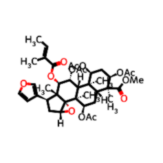 C/C=C(\C)C(=O)O[C@H]1[C@H](OC(C)=O)[C@@H]2[C@@]3(C)[C@@H](OC(C)=O)C[C@@H](OC(C)=O)[C@@](C)(C(=O)OC)[C@@H]3C[C@@H](OC(C)=O)[C@@]2(C)[C@@]23O[C@@H]2C[C@@H](c2ccoc2)[C@]13C